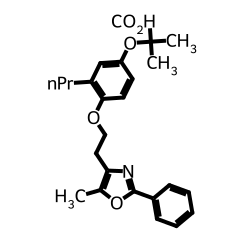 CCCc1cc(OC(C)(C)C(=O)O)ccc1OCCc1nc(-c2ccccc2)oc1C